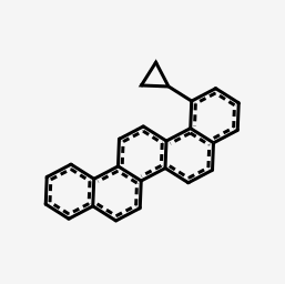 c1ccc2c(c1)ccc1c2ccc2c1ccc1cccc(C3CC3)c12